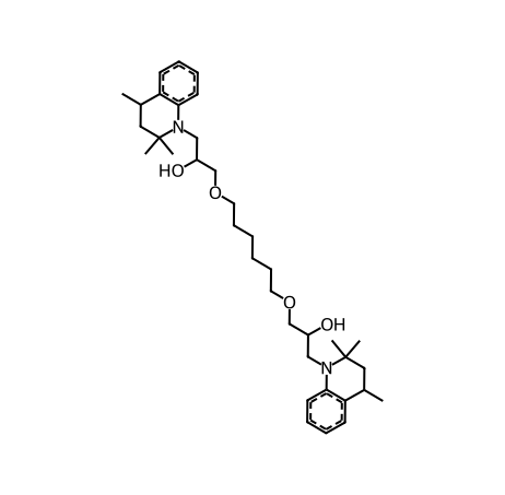 CC1CC(C)(C)N(CC(O)COCCCCCCOCC(O)CN2c3ccccc3C(C)CC2(C)C)c2ccccc21